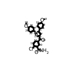 COc1ccc(-c2cc(C(=O)c3ccc(Cl)c(C(N)=O)c3)nn2-c2ccc(OC)cc2)cc1